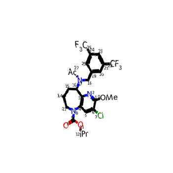 COc1nc2c(cc1Cl)N(C(=O)OC(C)C)CCCC2N(Cc1cc(C(F)(F)F)cc(C(F)(F)F)c1)C(C)=O